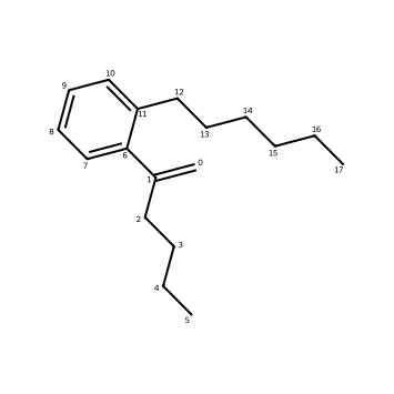 C=C(CCCC)c1ccccc1CCCCCC